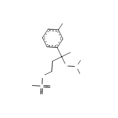 CC(CCOS(C)(=O)=O)(N[S+]([O-])C(C)(C)C)c1cccc(C(F)(F)F)c1